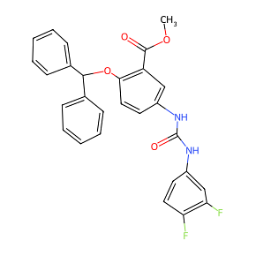 COC(=O)c1cc(NC(=O)Nc2ccc(F)c(F)c2)ccc1OC(c1ccccc1)c1ccccc1